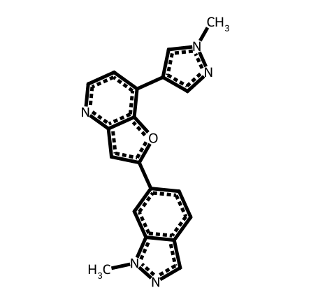 Cn1cc(-c2ccnc3cc(-c4ccc5cnn(C)c5c4)oc23)cn1